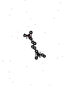 c1ccc(-c2cc(-c3ccccc3)nc(-c3ccc(-c4ccc5c(-c6cccc7cc(-c8ccc(-c9nc(-c%10ccccc%10)nc(-c%10ccc%11ccccc%11c%10)n9)cc8)ccc67)cccc5c4)cc3)n2)cc1